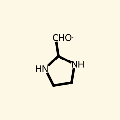 O=[C]C1NCCN1